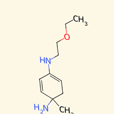 CCOCCNC1=CCC(C)(N)C=C1